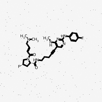 CNc1nc(Nc2ccc(F)cc2)ncc1C#CCCCNC(=O)[C@@H]1C[C@H](F)CN1C(=O)C=CCN(C)C